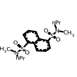 CCCN(C)S(=O)(=O)c1cccc2c(S(=O)(=O)N(C)CCC)cccc12